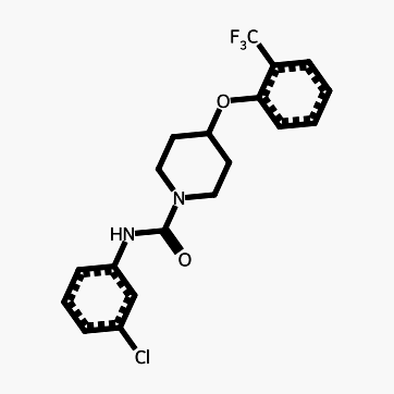 O=C(Nc1cccc(Cl)c1)N1CCC(Oc2ccccc2C(F)(F)F)CC1